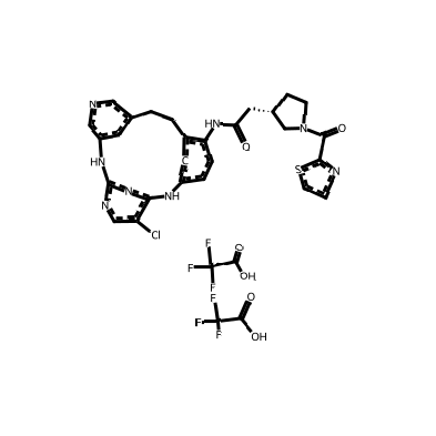 O=C(C[C@@H]1CCN(C(=O)c2nccs2)C1)Nc1ccc2cc1CCc1cncc(c1)Nc1ncc(Cl)c(n1)N2.O=C(O)C(F)(F)F.O=C(O)C(F)(F)F